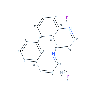 [I-].[I-].[Ni+2].c1ccc2ncccc2c1.c1ccc2ncccc2c1